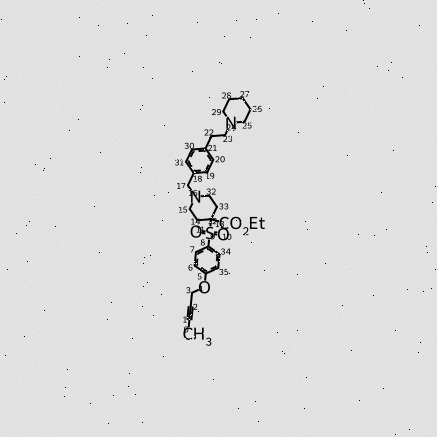 CC#CCOc1ccc(S(=O)(=O)C2(C(=O)OCC)CCN(Cc3ccc(CCN4CCCCC4)cc3)CC2)cc1